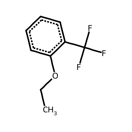 CCOc1ccccc1C(F)(F)F